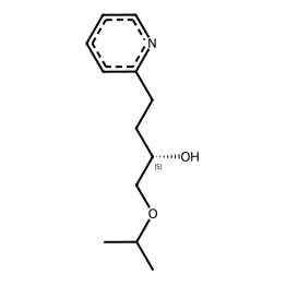 CC(C)OC[C@@H](O)CCc1ccccn1